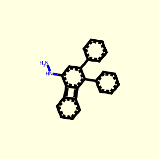 NNc1cc(-c2ccccc2)c(-c2ccccc2)c2c1=c1ccccc1=2